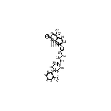 CCc1ccccc1N1CCN(CCCCOc2ccc3c(n2)NC(=O)CC3(C)C)CC1